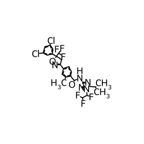 Cc1cc(C2=NOC(c3cc(Cl)cc(Cl)c3)(C(F)(F)F)C2)ccc1C(=O)Nc1nc(C(C)C)n(C(F)C(F)F)n1